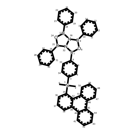 C[Si](C)(c1ccc(B2OB(c3ccccc3)N3B(c4ccccc4)OB(c4ccccc4)N23)cc1)c1cccc2c3ccccc3c3ccccc3c12